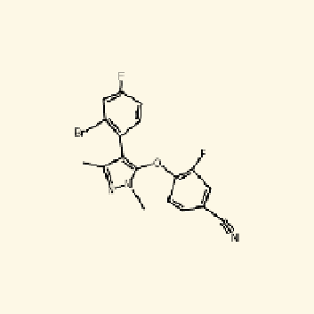 Cc1nn(C)c(Oc2ccc(C#N)cc2F)c1-c1ccc(F)cc1Br